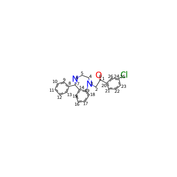 O=C(CN1CCN=C(c2ccccc2)c2ccccc21)c1cccc(Cl)c1